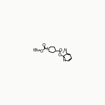 CC(C)(C)OC(=O)N1CCC(COc2ncccc2[N+](=O)[O-])CC1